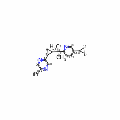 CC(C)c1cnc(C2CC2C(C)(C)c2ccc(C3CC3)cn2)cn1